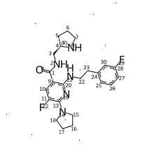 O=C(NC[C@H]1CCCN1)c1cc(F)c(N2CCCC2)nc1NCCc1cccc(F)c1